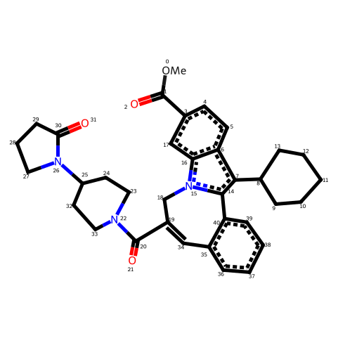 COC(=O)c1ccc2c(C3CCCCC3)c3n(c2c1)CC(C(=O)N1CCC(N2CCCC2=O)CC1)=Cc1ccccc1-3